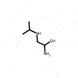 CC(C)NCC(N)O